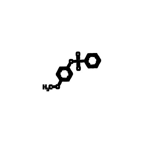 COc1ccc(OS(=O)(=O)c2ccccc2)cc1